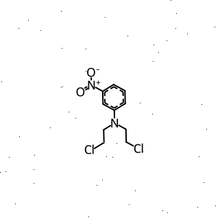 O=[N+]([O-])c1cccc(N(CCCl)CCCl)c1